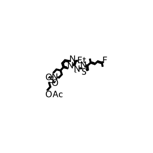 CCc1nc2ccc(C3CCN(S(=O)(=O)CCCOC(C)=O)CC3)cn2c1N(C)c1nc(/C(C)=C/C=C(\C)F)cs1